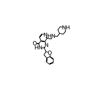 O=c1[nH]c(C2Cc3ccccc3O2)nc2c(CNCC3CCNCC3)nccc12